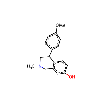 COc1ccc(C2CN(C)Cc3cc(O)ccc32)cc1